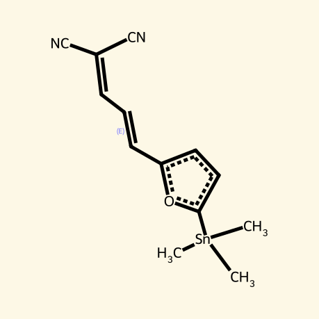 [CH3][Sn]([CH3])([CH3])[c]1ccc(/C=C/C=C(C#N)C#N)o1